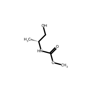 COC(=O)N[C@H](C)CO